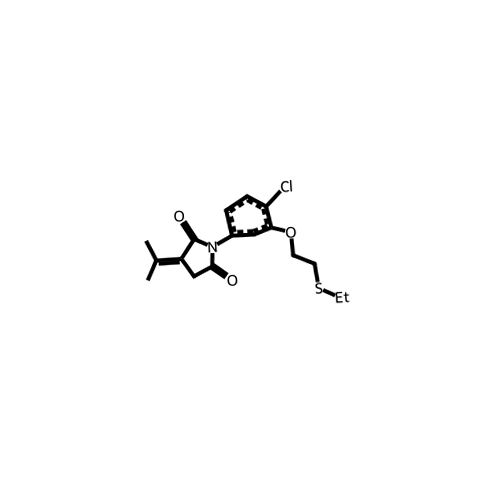 CCSCCOc1cc(N2C(=O)CC(=C(C)C)C2=O)ccc1Cl